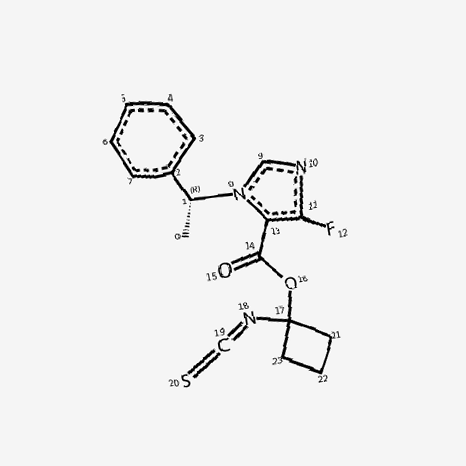 C[C@H](c1ccccc1)n1cnc(F)c1C(=O)OC1(N=C=S)CCC1